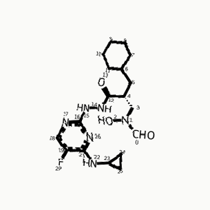 O=CN(O)C[C@@H](CC1CCCCC1)C(=O)NNc1ncc(F)c(NC2CC2)n1